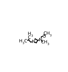 COCN(C)C1CN(CC(C)C)C1